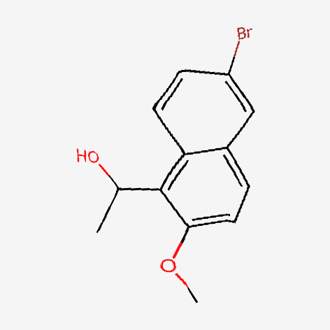 COc1ccc2cc(Br)ccc2c1C(C)O